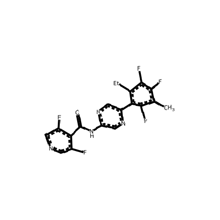 CCc1c(F)c(F)c(C)c(F)c1-c1cnc(NC(=O)c2c(F)cncc2F)cn1